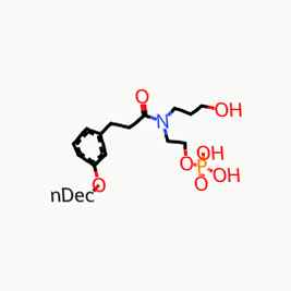 CCCCCCCCCCOc1cccc(CCC(=O)N(CCCO)CCOP(=O)(O)O)c1